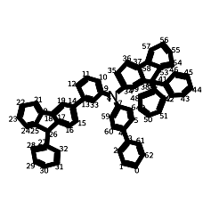 c1ccc(-c2ccc(N(c3cccc(-c4ccc5c(c4)-c4ccccc4C5c4ccccc4)c3)c3ccc4c(c3)C(c3ccccc3)(c3ccccc3)c3ccccc3-4)cc2)cc1